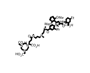 C=C1CC(CC)CCC1(NC(=O)c1cc(-c2c(OC)cccc2OC)n(-c2ccc(C(=O)N(C)CCCN(C)CCCN(C)C(=O)CCC(C(=O)O)N3CCN(CC(=O)O)CCN(CC(=O)O)CC3)cc2C(C)C)n1)C(=O)O